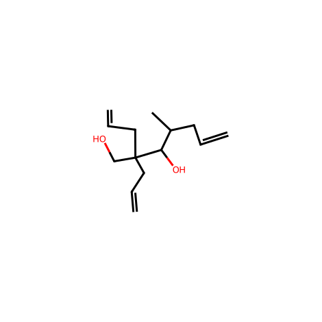 C=CCC(C)C(O)C(CO)(CC=C)CC=C